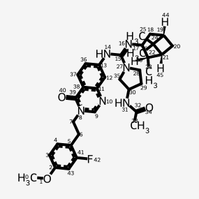 COc1ccc(CCn2cnc3cc(N/C(=N/C4C[C@@H]5C[C@H]([C@@H]4C)C5(C)C)N4CCC(NC(C)=O)C4)ccc3c2=O)c(F)c1